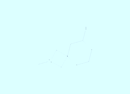 CN1CC2(CCCC(I)C2)C1